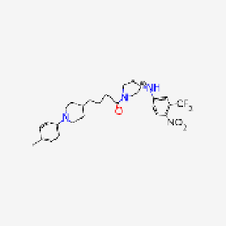 Cc1ccc(N2CCC(CCCC(=O)N3CC[C@@H](Nc4ccc([N+](=O)[O-])c(C(F)(F)F)c4)C3)CC2)cc1